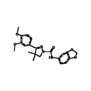 COc1ccc(C2=NN(C(=O)Nc3ccc4c(c3)OCO4)CC2(C)C)cc1OC